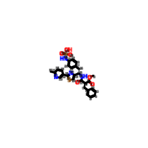 COC(=O)[C@@H](Cc1ccccc1)C(=O)N[C@@H](Cc1ccc(NS(=O)(=O)O)cc1)c1csc(-c2ccc(C)nc2)n1